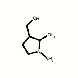 CC1C(CO)CCN1C